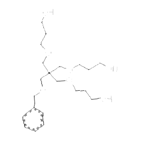 OCCCOCC(COCCCO)(COCCCO)COCc1ccccc1